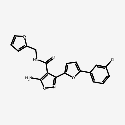 Nc1onc(-c2ccc(-c3cccc(Cl)c3)o2)c1C(=O)NCc1ccco1